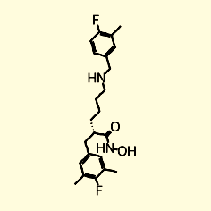 Cc1cc(CNCCCC[C@@H](Cc2cc(C)c(F)c(C)c2)C(=O)NO)ccc1F